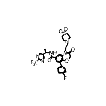 CC(NC(=O)c1cc(-c2ccc(F)cc2)c2c(c1)N(CCN1CCS(=O)(=O)CC1)C(=O)CO2)c1cnc(C(F)(F)F)nc1